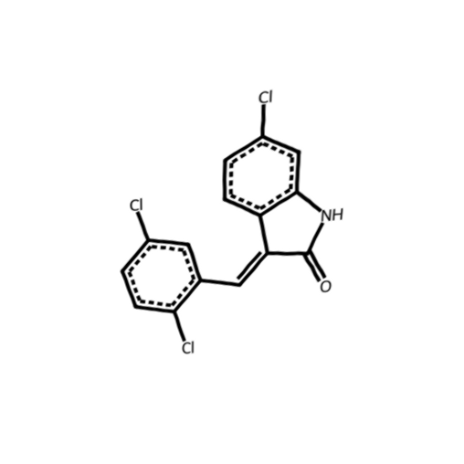 O=C1Nc2cc(Cl)ccc2/C1=C\c1cc(Cl)ccc1Cl